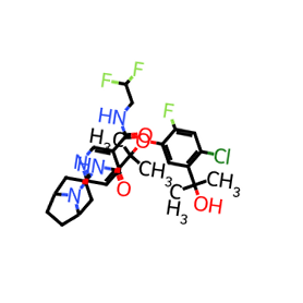 CC(C)(Oc1cc(C(C)(C)O)c(Cl)cc1F)C(=O)NC1CC2CCC(C1)N2c1ccc(C(=O)NCC(F)F)cn1